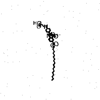 CCCCCCCCCCCCCCCCCCOC(=O)c1ccc(N=Nc2ccc(N(C)CCC(=O)O)cc2)c([N+](=O)[O-])c1